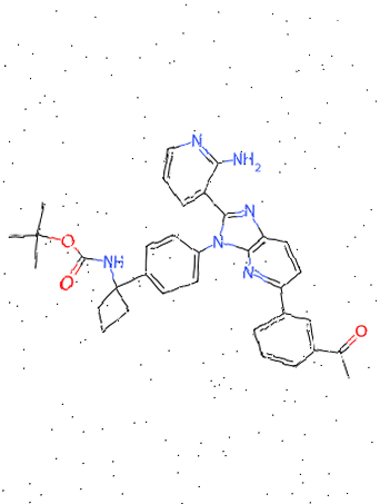 CC(=O)c1cccc(-c2ccc3nc(-c4cccnc4N)n(-c4ccc(C5(NC(=O)OC(C)(C)C)CCC5)cc4)c3n2)c1